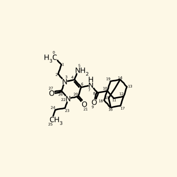 CCCn1c(N)c(NC(=O)C23CC4CC(CC(C4)C2)C3)c(=O)n(CCC)c1=O